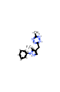 Cc1nnc(Cc2cnn(-c3ccccc3)c2C(F)(F)F)nn1